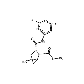 CC(C)(C)OC(=O)N1C2C[C@]2(C)C[C@H]1C(=O)Nc1cc(F)cc(Br)n1